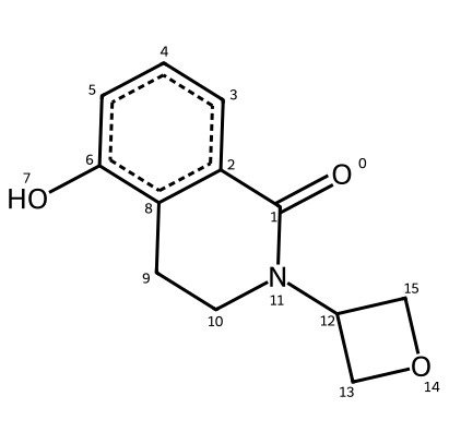 O=C1c2cccc(O)c2CCN1C1COC1